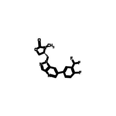 CN1C(=O)OC[C@H]1Cn1ncc2ncc(-c3ccc(F)c(C(F)F)c3)cc21